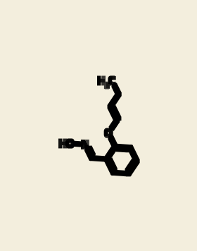 CCC=COc1ccccc1C=NO